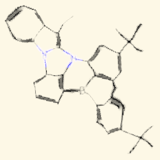 Cc1c2ccccc2n2c3cccc4c3n(c12)-c1cc(C(C)(C)C)cc2c1B4c1ccc(C(C)(C)C)cc1-2